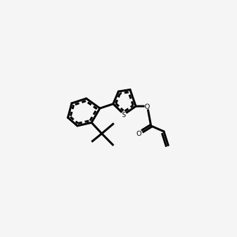 C=CC(=O)Oc1ccc(-c2ccccc2C(C)(C)C)s1